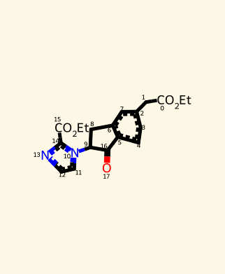 CCOC(=O)Cc1ccc2c(c1)CC(n1ccnc1C(=O)OCC)C2=O